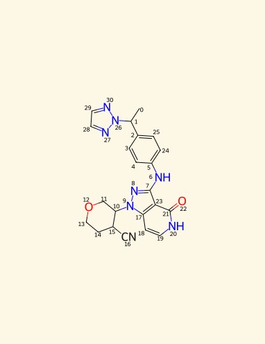 CC(c1ccc(Nc2nn(C3COCCC3C#N)c3cc[nH]c(=O)c23)cc1)n1nccn1